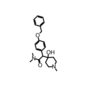 CN1CCC(O)(C(C(=O)N(C)C)c2ccc(OCc3ccccc3)cc2)CC1